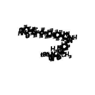 Cc1cc(-c2n[nH]c3ncc(-c4ccc(N5CCN([C@H]6C[C@@H](c7ccc(C8CCC(=O)NC8=O)cc7)C6)CC5)cc4)cc23)ccc1[C@@H](C)NC(=O)c1noc(C(C)(C)C)n1